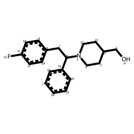 OCC1CCN(C(Cc2ccc(F)cc2)c2ccccc2)CC1